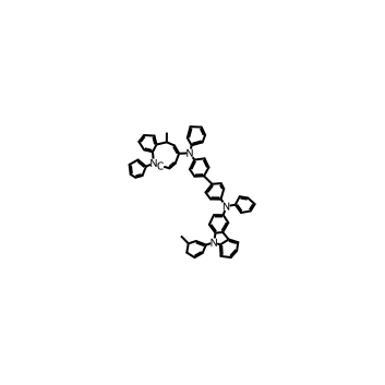 CC1C=C(n2c3ccccc3c3cc(N(c4ccccc4)c4ccc(-c5ccc(N(C6=C/C(C)c7ccccc7N(c7ccccc7)C/C=C\6)c6ccccc6)cc5)cc4)ccc32)C=CC1